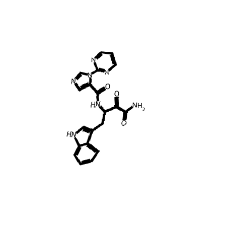 NC(=O)C(=O)C(Cc1c[nH]c2ccccc12)NC(=O)c1cncn1-c1ncccn1